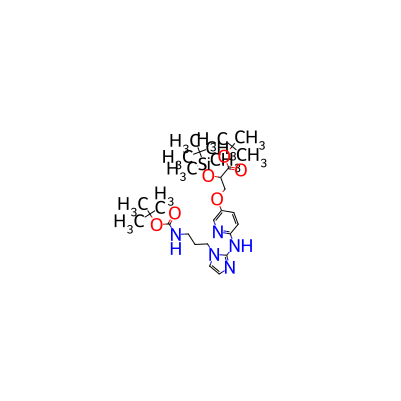 CC(C)(C)OC(=O)NCCCn1ccnc1Nc1ccc(OCC(O[Si](C)(C)C(C)(C)C)C(=O)OC(C)(C)C)cn1